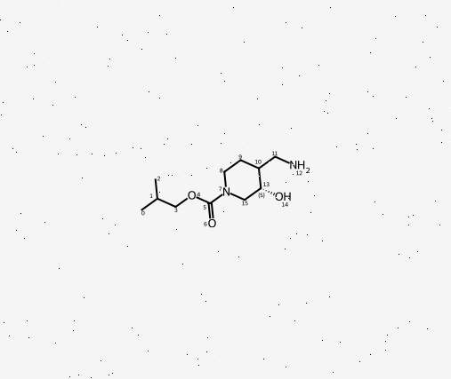 CC(C)COC(=O)N1CCC(CN)[C@H](O)C1